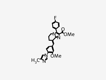 COC(=O)c1nc2n(c1-c1ccc(F)cc1)CCCC2=Cc1ccc(-n2cnc(C)c2)c(OC)c1